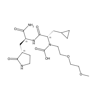 COCCOCCN(C(=O)O)[C@@H](CC1CC1)C(=O)N[C@@H](C[C@@H]1CCNC1=O)C(N)=O